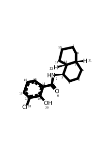 O=C(N[C@@H]1CCC[C@H]2CCCC[C@H]21)c1cccc(Cl)c1O